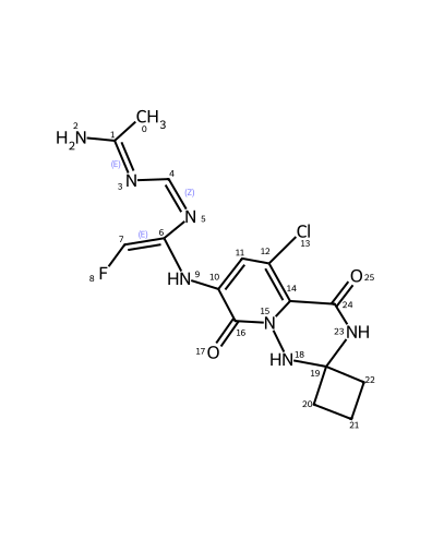 C\C(N)=N/C=N\C(=C\F)Nc1cc(Cl)c2n(c1=O)NC1(CCC1)NC2=O